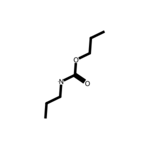 CCC[N]C(=O)OCCC